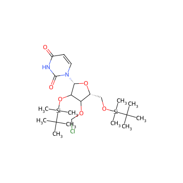 CC(C)(C)[Si](C)(C)OC[C@H]1O[C@@H](n2ccc(=O)[nH]c2=O)C(O[Si](C)(C)C(C)(C)C)C1OCCl